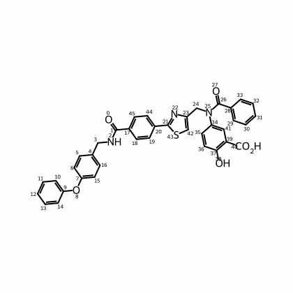 O=C(NCc1ccc(Oc2ccccc2)cc1)c1ccc(-c2nc(CN(C(=O)c3ccccc3)c3ccc(O)c(C(=O)O)c3)cs2)cc1